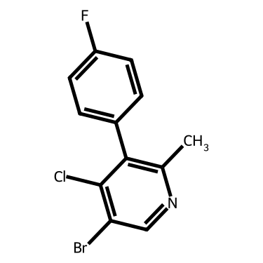 Cc1ncc(Br)c(Cl)c1-c1ccc(F)cc1